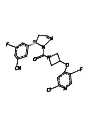 N#Cc1cc(F)cc([C@@H]2CC=NN2C(=O)N2CC(Oc3cc(Cl)ncc3F)C2)c1